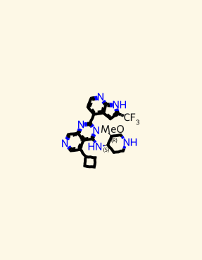 CO[C@@H]1CNCC[C@@H]1Nc1nc(-c2ccnc3[nH]c(C(F)(F)F)cc23)nc2cncc(C3CCC3)c12